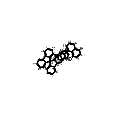 c1ccc2c(c1)-c1cc3ccccc3cc1C21c2ccccc2-c2cccc(-c3ccc4c(c3)-c3cccc5cccc(c35)O4)c21